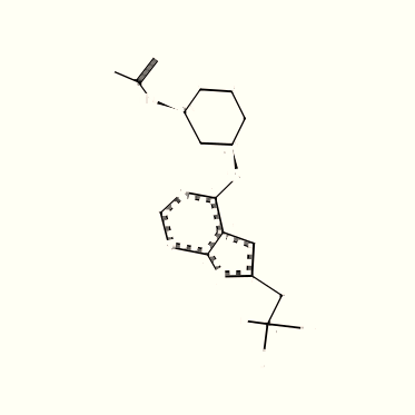 O=C(O)N[C@H]1CCC[C@@H](Nc2ncnc3sc(CC(F)(F)F)cc23)C1